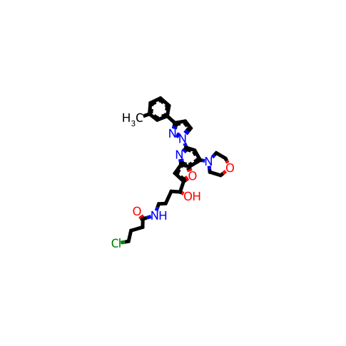 Cc1cccc(-c2ccn(-c3cc(N4CCOCC4)c4oc(C(O)CCCNC(=O)CCCCl)cc4n3)n2)c1